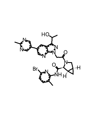 Cc1ncc(-c2cnc3c(c2)c(C(C)O)nn3CC(=O)N2C[C@H]3C[C@H]3[C@H]2C(=O)Nc2nc(Br)ccc2C)cn1